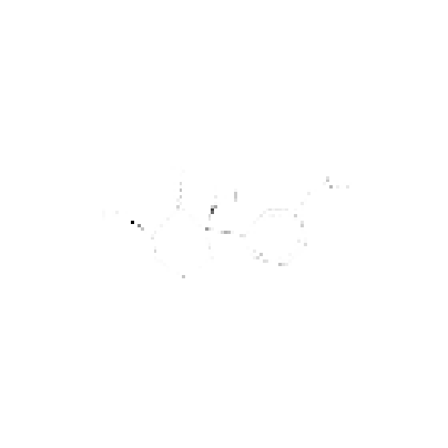 COc1cccc([C@]2(C)CCC[C@@H](O)C2=O)c1